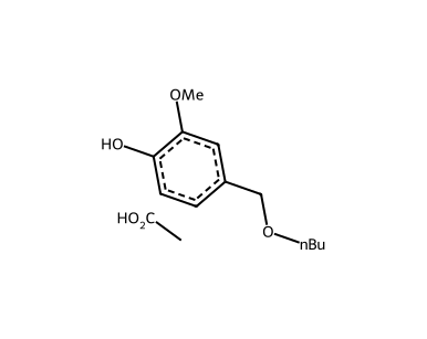 CC(=O)O.CCCCOCc1ccc(O)c(OC)c1